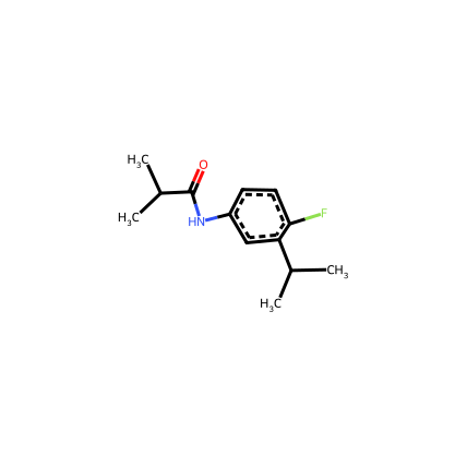 CC(C)C(=O)Nc1ccc(F)c(C(C)C)c1